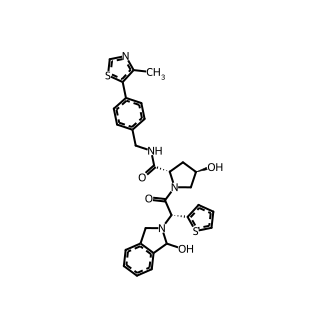 Cc1ncsc1-c1ccc(CNC(=O)[C@@H]2C[C@@H](O)CN2C(=O)[C@H](c2cccs2)N2Cc3ccccc3C2O)cc1